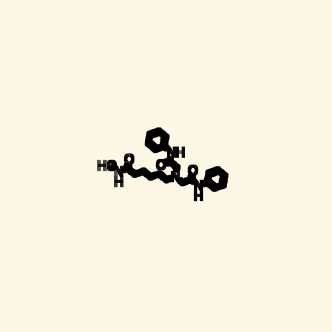 O=C(CCCCCN(CC(=O)Nc1ccccc1)CC(=O)Nc1ccccc1)NO